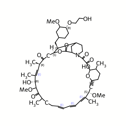 COC1C(=O)C(C)CC/C=C/C=C/C=C(\C)[C@@H](OC)C[C@@H]2CCC(C)C(O)(O2)C(=O)C(=O)N2CCC3CC2C(=O)O[C@@H](CC(=O)[C@H](C)/C=C(\C)[C@H]1O)[C@H]3CC1CC[C@@H](OCCO)C(OC)C1